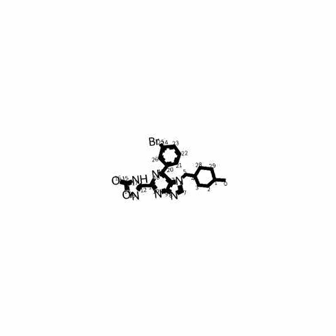 CC1CCC(Cn2cnc3nc(-c4noc(=O)[nH]4)nc(-c4cccc(Br)c4)c32)CC1